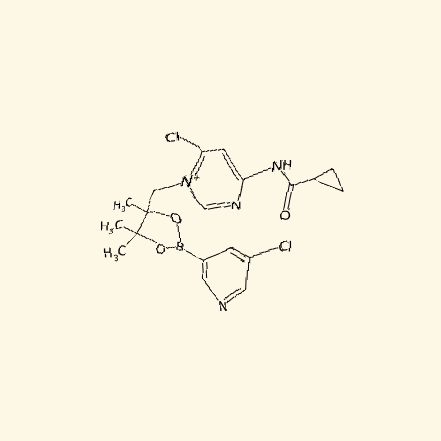 CC1(C)OB(c2cncc(Cl)c2)OC1(C)C[n+]1cnc(NC(=O)C2CC2)cc1Cl